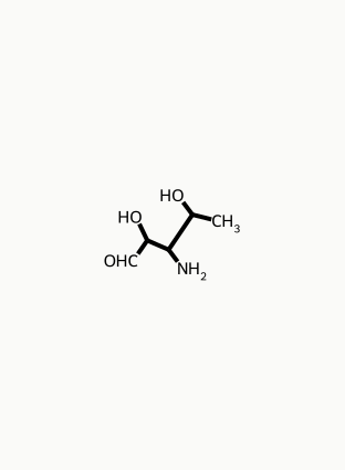 CC(O)C(N)C(O)C=O